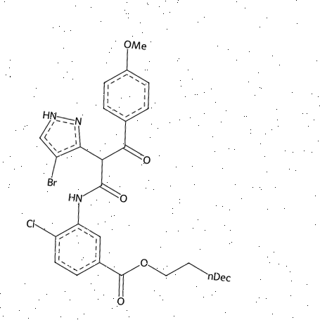 CCCCCCCCCCCCOC(=O)c1ccc(Cl)c(NC(=O)C(C(=O)c2ccc(OC)cc2)c2n[nH]cc2Br)c1